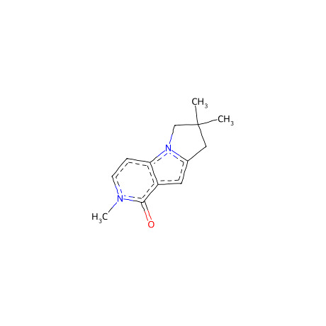 Cn1ccc2c(cc3n2CC(C)(C)C3)c1=O